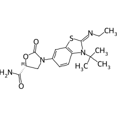 CCN=c1sc2cc(N3C[C@H](C(N)=O)OC3=O)ccc2n1C(C)(C)C